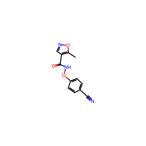 Cc1oncc1C(=O)NOc1ccc(C#N)cc1